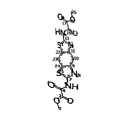 COC(=O)C(=O)Nc1nc2cc3nc(NC(=O)C(=O)OC)sc3cc2s1